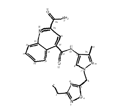 CCc1noc(Cn2cc(NC(=O)c3cc(C(N)=O)nc4ccccc34)c(C)n2)n1